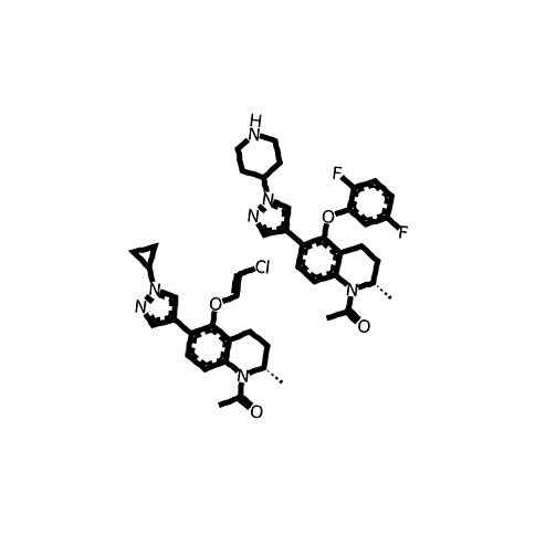 CC(=O)N1c2ccc(-c3cnn(C4CC4)c3)c(OC=CCl)c2CC[C@@H]1C.CC(=O)N1c2ccc(-c3cnn(C4CCNCC4)c3)c(Oc3cc(F)ccc3F)c2CC[C@@H]1C